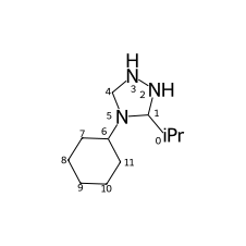 CC(C)C1NNCN1C1CCCCC1